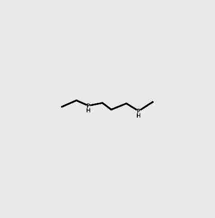 CCPCCCPC